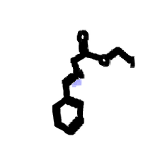 O=C(C/N=C/c1ccccc1)OCI